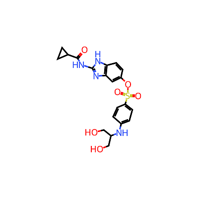 O=C(Nc1nc2cc(OS(=O)(=O)c3ccc(NC(CO)CO)cc3)ccc2[nH]1)C1CC1